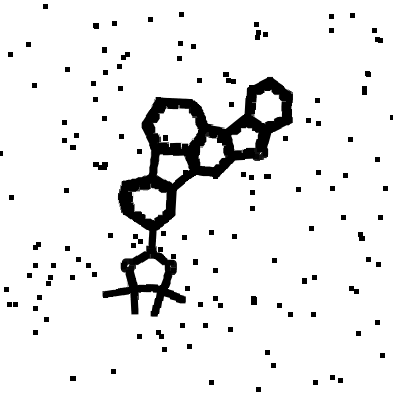 CC1(C)OB(c2ccc3c(c2)-c2cc4oc5ccccc5c4c4cccc-3c24)OC1(C)C